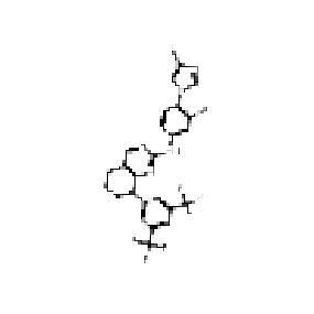 Cc1cn(-c2ccc(Nc3ncc4c(n3)C(c3cc(C(F)(F)F)cc(C(F)(F)F)c3)CCC4)cc2F)cn1